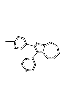 Cc1ccc(-c2nc3cccccc-3c2-c2ccncc2)cc1